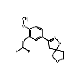 COc1ccc(C2=NOC3(CCOC3)C2)cc1OC(F)F